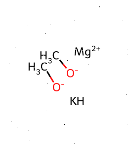 C[O-].C[O-].[KH].[Mg+2]